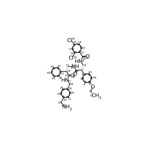 CCOc1ccc([C@@H](CNC(=O)c2ccc(Cl)cc2Cl)C(=O)NC[C@H](C(=O)NCc2ccc(CN)cc2)c2ccccc2)cc1